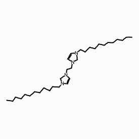 CCCCCCCCCCCCN1C=CN(CCN2C=CN(CCCCCCCCCCCC)C2)C1